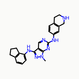 Cn1nc(Nc2cccc3c2CCC3)c2cnc(Nc3ccc4c(c3)CNCC4)nc21